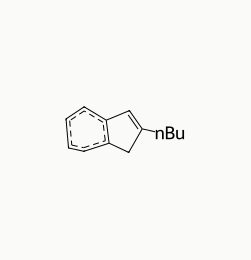 CCCCC1=Cc2ccccc2C1